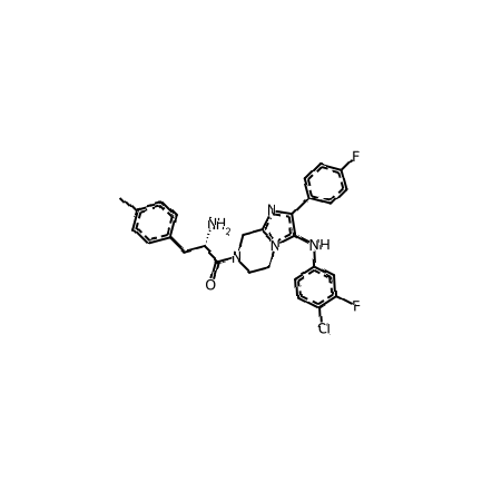 Cc1ccc(C[C@H](N)C(=O)N2CCn3c(nc(-c4ccc(F)cc4)c3Nc3ccc(Cl)c(F)c3)C2)cc1